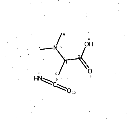 CC(C(=O)O)N(C)C.N=C=O